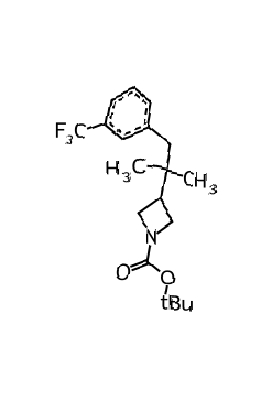 CC(C)(C)OC(=O)N1CC(C(C)(C)Cc2cccc(C(F)(F)F)c2)C1